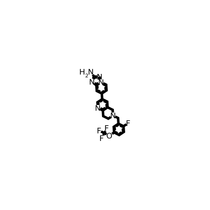 Nc1nc2cc(-c3cnc4c(c3)CN(Cc3cc(OC(F)(F)F)ccc3F)CC4)ccn2n1